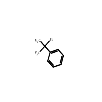 CCC(C)(c1ccccc1)C(F)(F)F